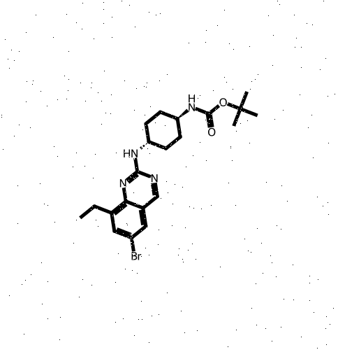 CCc1cc(Br)cc2cnc(N[C@H]3CC[C@H](NC(=O)OC(C)(C)C)CC3)nc12